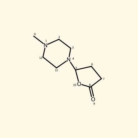 CN1CCN(C2CCC(=O)O2)CC1